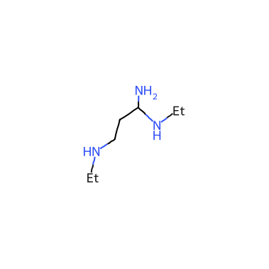 CCNCCC(N)NCC